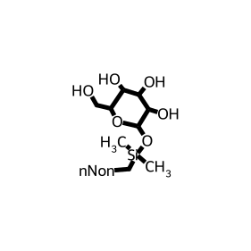 CCCCCCCCCC[Si](C)(C)OC1OC(CO)C(O)C(O)C1O